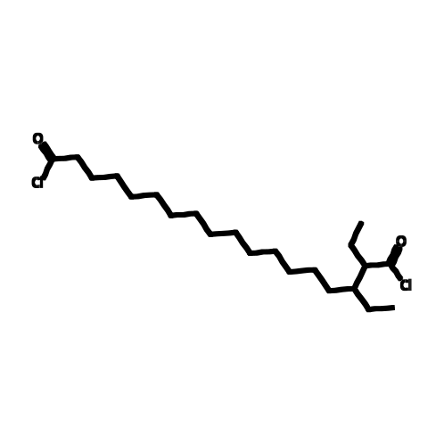 CCC(CCCCCCCCCCCCCCC(=O)Cl)C(CC)C(=O)Cl